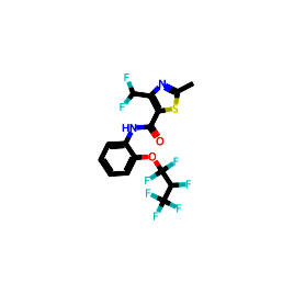 Cc1nc(C(F)F)c(C(=O)Nc2ccccc2OC(F)(F)C(F)C(F)(F)F)s1